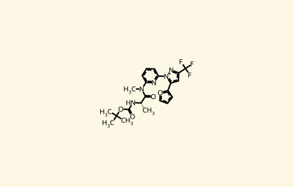 C[C@H](NC(=O)OC(C)(C)C)C(=O)N(C)c1cccc(-n2nc(C(F)(F)F)cc2-c2ccco2)n1